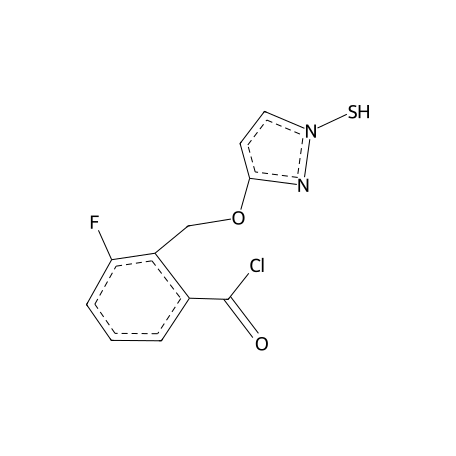 O=C(Cl)c1cccc(F)c1COc1ccn(S)n1